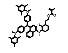 C=C(C)C(=O)OCCC1CCCC(Nc2ccc(C(c3ccc(N(C)c4c(C)cc(C)cc4C)cc3)c3ccc(N(C)c4c(C)cc(C)cc4C)cc3)c3ccccc23)C1Cl